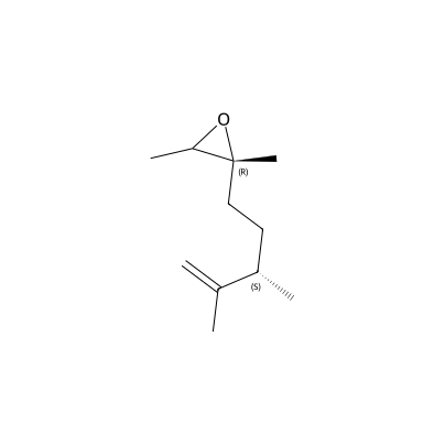 C=C(C)[C@@H](C)CC[C@@]1(C)OC1C